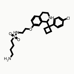 NCCCCS(=O)(=O)NCCOc1ccc2c(c1)C(C1(c3ccc(Cl)cc3)CCC1)NCC2